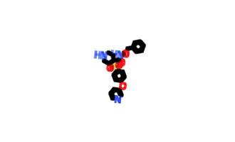 O=C(NOCc1ccccc1)C1(S(=O)(=O)c2ccc(Oc3cccnc3)cc2)CCNCC1